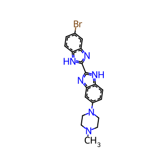 CN1CCN(c2ccc3[nH]c(-c4nc5cc(Br)ccc5[nH]4)nc3c2)CC1